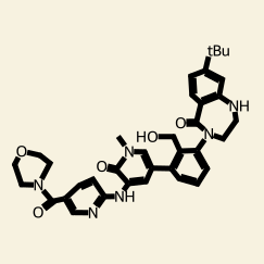 Cn1cc(-c2cccc(N3CCNc4cc(C(C)(C)C)ccc4C3=O)c2CO)cc(Nc2ccc(C(=O)N3CCOCC3)cn2)c1=O